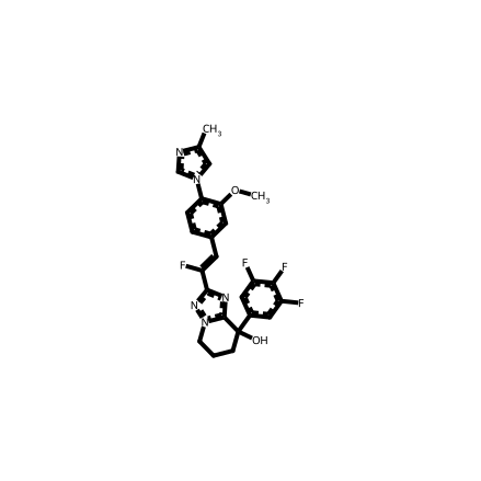 COc1cc(C=C(F)c2nc3n(n2)CCCC3(O)c2cc(F)c(F)c(F)c2)ccc1-n1cnc(C)c1